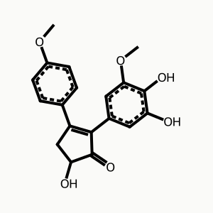 COc1ccc(C2=C(c3cc(O)c(O)c(OC)c3)C(=O)C(O)C2)cc1